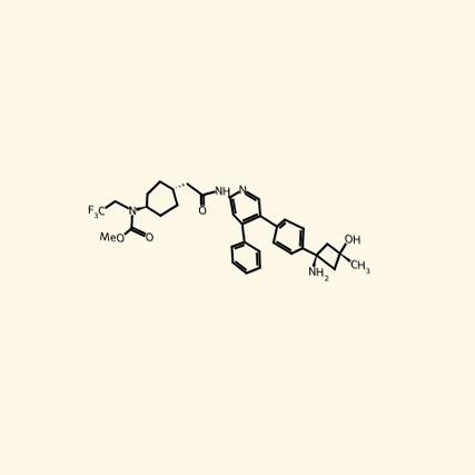 COC(=O)N(CC(F)(F)F)[C@H]1CC[C@H](CC(=O)Nc2cc(-c3ccccc3)c(-c3ccc([C@]4(N)C[C@](C)(O)C4)cc3)cn2)CC1